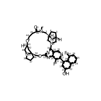 CN1C[C@]23CC[C@H](CN(C2)c2nc(nc4c(F)c(-c5cc(O)cc6cccc(F)c56)ncc24)OC[C@@]24CCCN2C[C@H](C4)OCCC1=O)N3